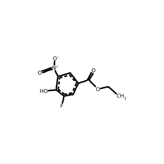 CCOC(=O)c1cc(F)c(O)c([N+](=O)[O-])c1